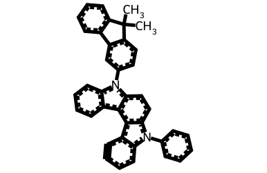 CC1(C)c2ccccc2-c2cc(-n3c4ccccc4c4c5c6c#cccc6n(-c6ccccc6)c5ccc43)ccc21